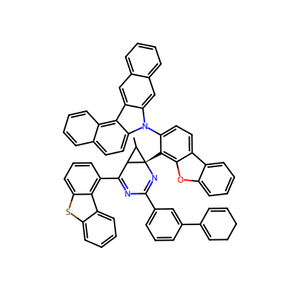 CC1C2C(c3cccc4sc5ccccc5c34)=NC(c3cccc(C4=CCCC=C4)c3)=N[C@@]12c1c(-n2c3cc4ccccc4cc3c3c4ccccc4ccc32)ccc2c1oc1ccccc12